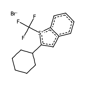 FC(F)(F)[s+]1c(C2CCCCC2)cc2ccccc21.[Br-]